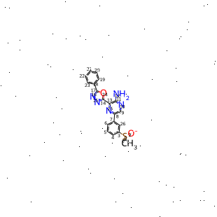 C[S+]([O-])c1cccc(-c2cnc(N)c(-c3nnc(-c4ccccc4)o3)n2)c1